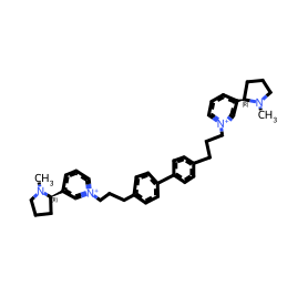 CN1CCC[C@@H]1c1ccc[n+](CCCc2ccc(-c3ccc(CCC[n+]4cccc([C@H]5CCCN5C)c4)cc3)cc2)c1